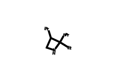 CCCC1(CC)NCC1C(C)C